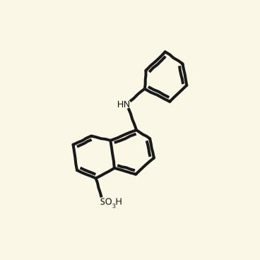 O=S(=O)(O)c1cccc2c(Nc3ccccc3)cccc12